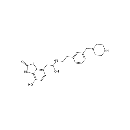 O=c1[nH]c2c(O)ccc(CC(O)NCCc3cccc(CN4CCNCC4)c3)c2s1